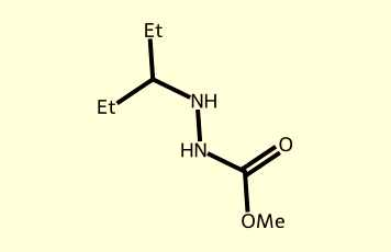 CCC(CC)NNC(=O)OC